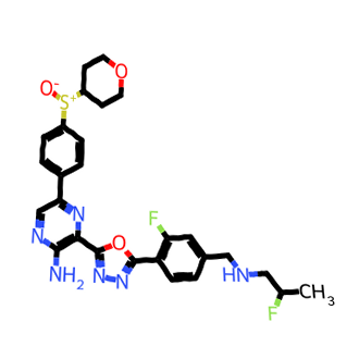 CC(F)CNCc1ccc(-c2nnc(-c3nc(-c4ccc([S+]([O-])C5CCOCC5)cc4)cnc3N)o2)c(F)c1